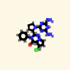 Nc1nc(N)nc(N2CCCC2c2nn3ccc(Cl)c3c(=O)n2-c2ccccc2)n1